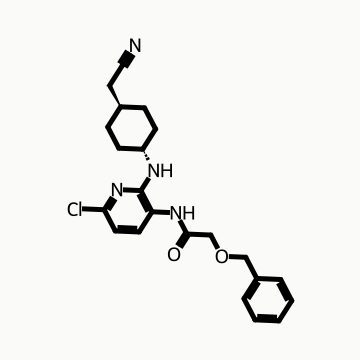 N#CC[C@H]1CC[C@H](Nc2nc(Cl)ccc2NC(=O)COCc2ccccc2)CC1